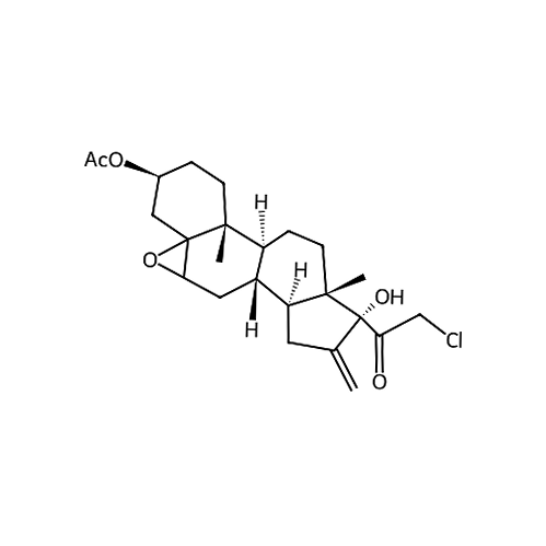 C=C1C[C@H]2[C@@H]3CC4OC45C[C@@H](OC(C)=O)CC[C@]5(C)[C@H]3CC[C@]2(C)[C@@]1(O)C(=O)CCl